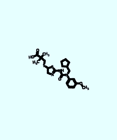 COc1cccc(N(CC2CCCC2)C(=O)NC2=NCC(SCC(C)(C)C(=O)O)S2)c1